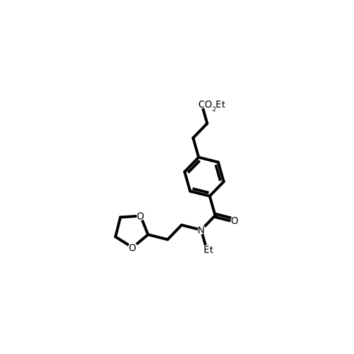 CCOC(=O)CCc1ccc(C(=O)N(CC)CCC2OCCO2)cc1